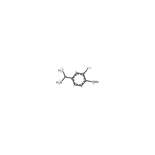 COc1ccc(C(C)N)cc1F